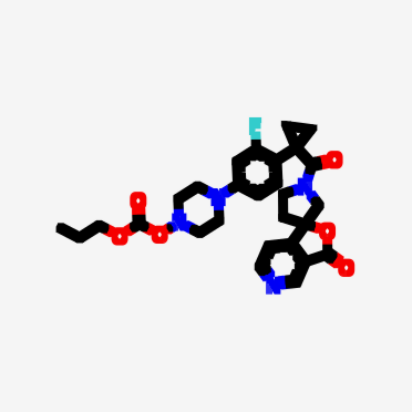 CCCOC(=O)ON1CCN(c2ccc(C3(C(=O)N4CCC5(C4)OC(=O)c4cnccc45)CC3)c(F)c2)CC1